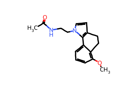 COc1cccc2c1CCc1ccn(CCNC(C)=O)c1-2